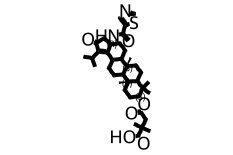 CC(C)C1=C2C3CCC4[C@@](C)(CCC5C(C)(C)[C@@H](OC(=O)CC(C)(C)C(=O)O)CC[C@@]54C)C3CC[C@@]2(NC(=O)c2cncs2)CC1=O